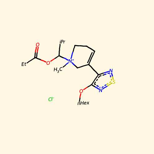 CCCCCCOc1nsnc1C1=CCC[N+](C)(C(OC(=O)CC)C(C)C)C1.[Cl-]